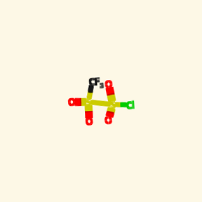 O=S(=O)(Cl)S(=O)(=O)C(F)(F)F